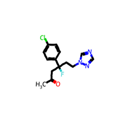 CC(=O)CC(F)(CCn1cncn1)c1ccc(Cl)cc1